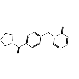 O=C(c1ccc(Cn2cnccc2=O)cc1)N1CCCC1